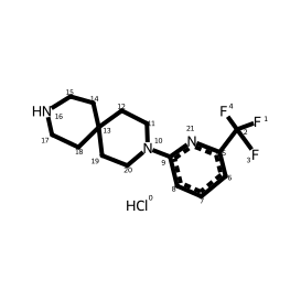 Cl.FC(F)(F)c1cccc(N2CCC3(CCNCC3)CC2)n1